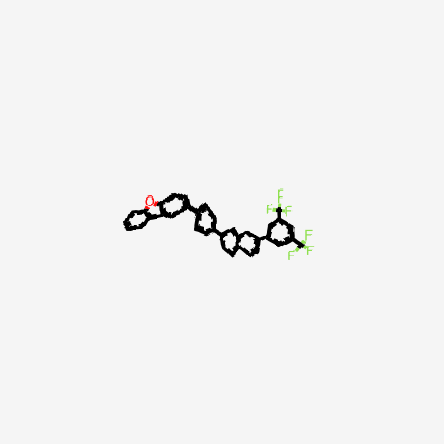 FC(F)(F)c1cc(-c2ccc3ccc(-c4ccc(-c5ccc6oc7ccccc7c6c5)cc4)cc3c2)cc(C(F)(F)F)c1